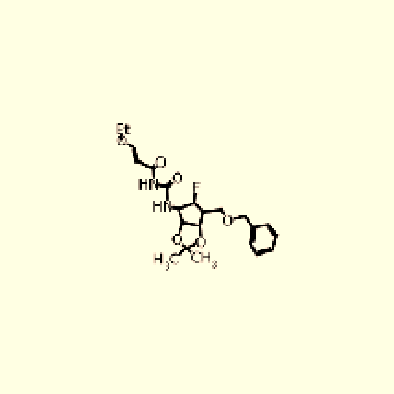 CCOC=CC(=O)NC(=O)NC1C(F)C(COCc2ccccc2)C2OC(C)(C)OC12